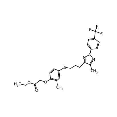 CCOC(=O)COc1ccc(SCCCc2nn(-c3ccc(C(F)(F)F)cc3)nc2C)cc1C